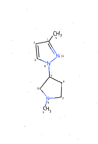 Cc1ccn(C2CCN(C)C2)n1